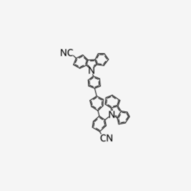 N#Cc1ccc(-c2ccc(-c3ccc(-n4c5ccccc5c5cc(C#N)ccc54)cc3)cc2)c(-n2c3ccccc3c3ccccc32)c1